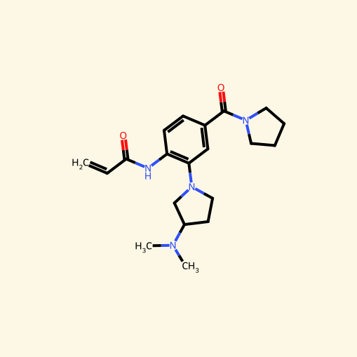 C=CC(=O)Nc1ccc(C(=O)N2CCCC2)cc1N1CCC(N(C)C)C1